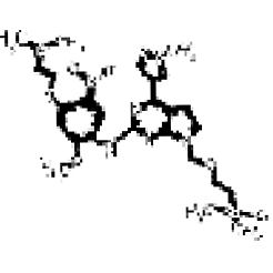 COc1cc(OCCN(C)C)c([N+](=O)[O-])cc1Nc1nc(-c2cnn(C)c2)c2ccn(COCC[Si](C)(C)C)c2n1